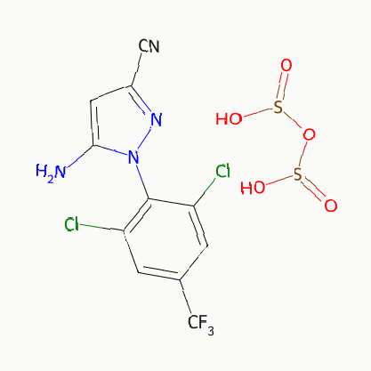 N#Cc1cc(N)n(-c2c(Cl)cc(C(F)(F)F)cc2Cl)n1.O=S(O)OS(=O)O